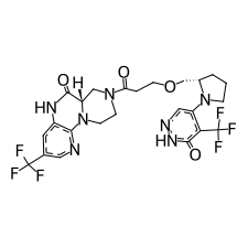 O=C1Nc2cc(C(F)(F)F)cnc2N2CCN(C(=O)CCOC[C@@H]3CCCN3c3cn[nH]c(=O)c3C(F)(F)F)C[C@@H]12